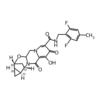 Cc1cc(F)c(CNC(=O)c2cn3c(c(O)c2=O)C(=O)N2C(C3)O[C@@H]3C[C@H]2[C@H]2C[C@H]23)c(F)c1